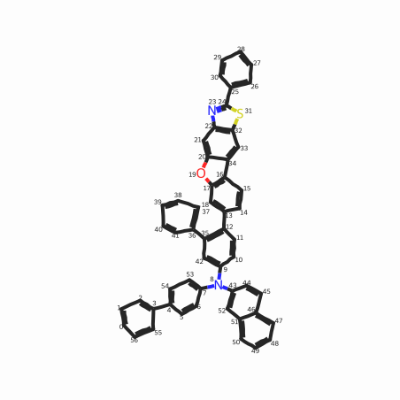 c1ccc(-c2ccc(N(c3ccc(-c4ccc5c(c4)oc4cc6nc(-c7ccccc7)sc6cc45)c(-c4ccccc4)c3)c3ccc4ccccc4c3)cc2)cc1